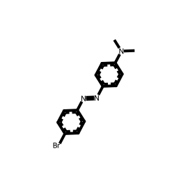 CN(C)c1ccc(N=Nc2ccc(Br)cc2)cc1